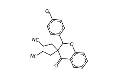 N#CCCC1(CCC#N)C(=O)c2ccccc2OC1c1ccc(Cl)cc1